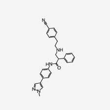 Cn1cc(-c2ccc(NC(=O)C(CNCCc3ccc(C#N)cc3)c3ccccc3)cc2)cn1